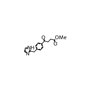 COC(=O)CCC(=O)c1ccc(Cc2ncc[nH]2)cc1